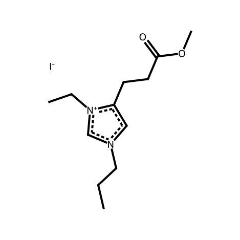 CCCn1cc(CCC(=O)OC)[n+](CC)c1.[I-]